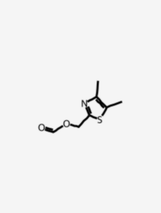 Cc1nc(COC=O)sc1C